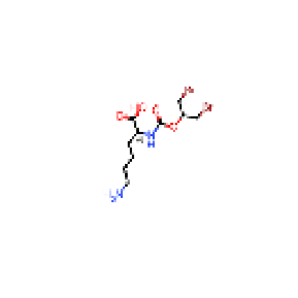 NCCCC[C@H](NC(=O)OC(CBr)CBr)C(=O)O